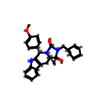 COc1ccc([C@H]2c3[nH]c4ccccc4c3C[C@@H]3C(=O)N(Cc4ccccc4)C(=O)N23)cc1